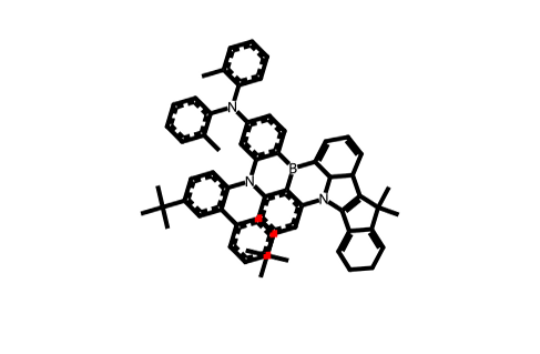 Cc1ccccc1N(c1ccc2c(c1)N(c1ccc(C(C)(C)C)cc1-c1ccccc1)c1cc(C(C)(C)C)cc3c1B2C1=CC=CC2C4=C(C5=CCCC=C5C4(C)C)N3C12)c1ccccc1C